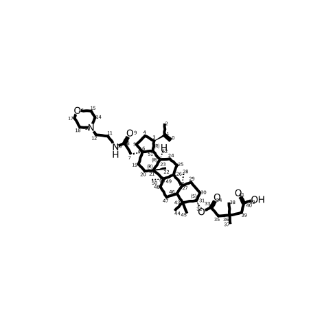 C=C(C)[C@@H]1CC[C@]2(CC(=O)NCCN3CCOCC3)CC[C@]3(C)[C@H](CCC4[C@@]5(C)CC[C@H](OC(=O)CC(C)(C)CC(=O)O)C(C)(C)C5CC[C@]43C)C12